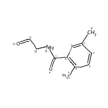 Cc1ccc(C)c(C(=O)NCC=O)c1